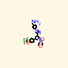 NCc1ccc(-n2cnc(C3CC(c4ccc(OC(F)(F)F)cc4)CN(C(=O)N4CCOCC4)C3)c2)cc1